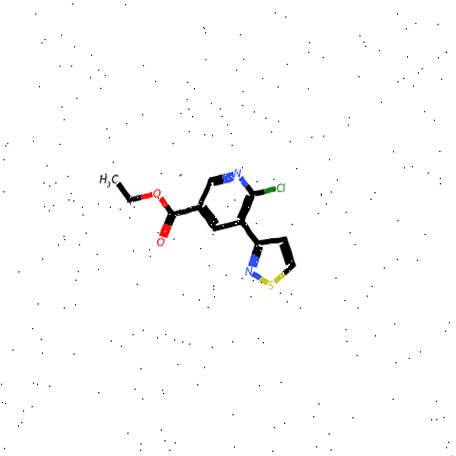 CCOC(=O)c1cnc(Cl)c(-c2ccsn2)c1